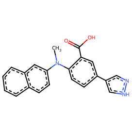 CN(c1ccc2ccccc2c1)c1ccc(-c2cn[nH]c2)cc1C(=O)O